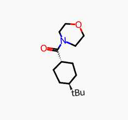 CC(C)(C)[C@H]1CC[C@H](C(=O)N2CCOCC2)CC1